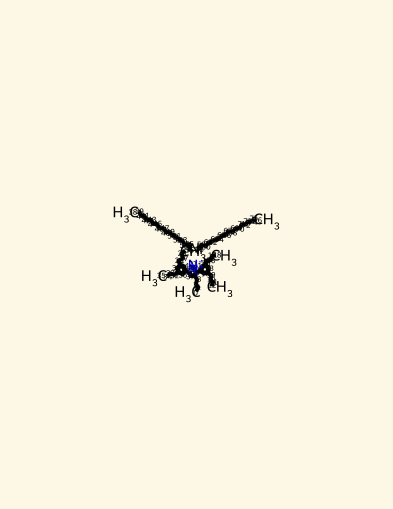 CCCCC1=C(c2cc(CCCC)cc(CCCC)c2)[N+](=[N-])C(c2cc(CCCC)cc(CCCC)c2)=C1.CCCCCCCCCCCCCCCCCC[CH2][Ni][CH2]CCCCCCCCCCCCCCCCCC